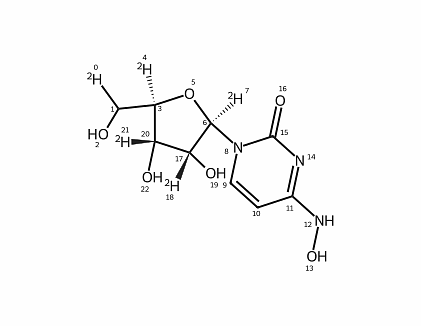 [2H]C(O)[C@@]1([2H])O[C@@]([2H])(n2ccc(NO)nc2=O)[C@]([2H])(O)[C@]1([2H])O